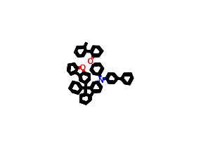 Cc1ccccc1-c1ccccc1Oc1ccc(N(c2ccc(-c3ccccc3)cc2)c2ccc3c(c2)C(c2ccccc2)(c2ccc4oc5ccccc5c4c2)c2ccccc2-3)cc1